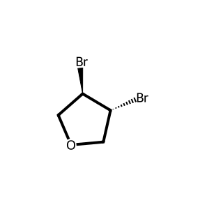 Br[C@@H]1COC[C@H]1Br